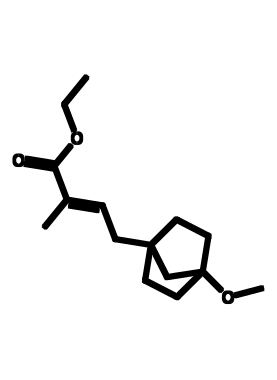 CCOC(=O)/C(C)=C/CC12CCC(OC)(CC1)C2